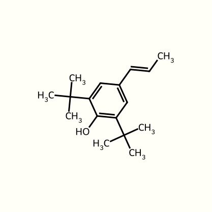 CC=Cc1cc(C(C)(C)C)c(O)c(C(C)(C)C)c1